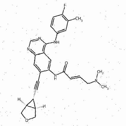 Cc1cc(Nc2ncnc3cc(C#C[C@@H]4[C@H]5COC[C@@H]45)c(NC(=O)/C=C/CN(C)C)cc23)ccc1F